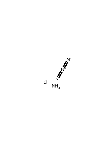 Cl.[N-]=[N+]=[N-].[NH4+]